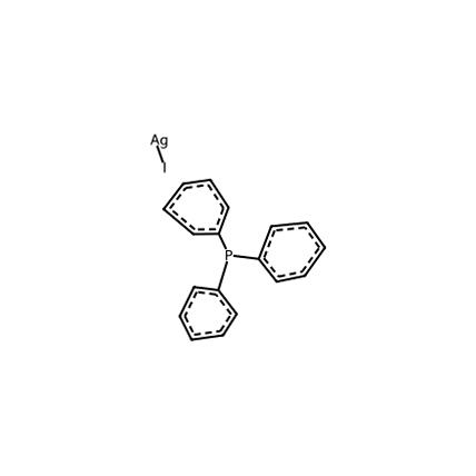 [Ag][I].c1ccc(P(c2ccccc2)c2ccccc2)cc1